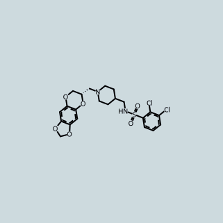 O=S(=O)(NCC1CCN(C[C@H]2COc3cc4c(cc3O2)OCO4)CC1)c1cccc(Cl)c1Cl